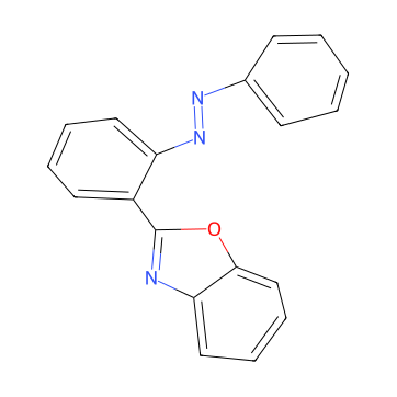 c1ccc(N=Nc2ccccc2-c2nc3ccccc3o2)cc1